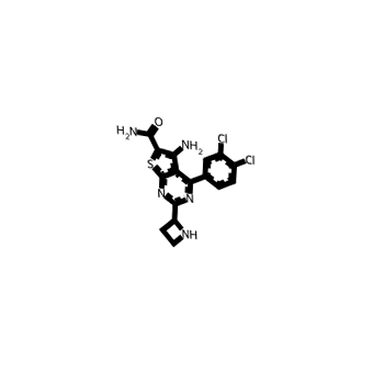 NC(=O)c1sc2nc(C3CCN3)nc(-c3ccc(Cl)c(Cl)c3)c2c1N